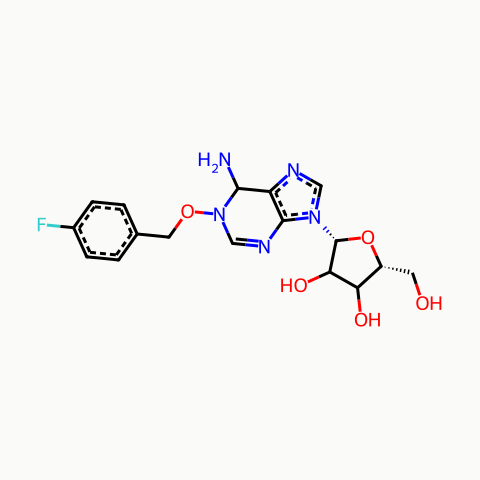 NC1c2ncn([C@@H]3O[C@H](CO)C(O)C3O)c2N=CN1OCc1ccc(F)cc1